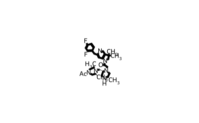 CC(=O)N1C[C@@H](C)N(C[C@H]2CN[C@H](C)CN2CC(=O)N2CC(C)(C)c3cnc(Cc4ccc(F)cc4F)cc32)[C@H](C)C1